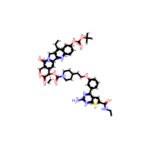 CCNC(=O)c1cc2c(-c3cccc(OCCC4CCN(C(=O)O[C@@]5(CC)C(=O)OCc6c5cc5n(c6=O)Cc6c-5nc5ccc(OC(=O)OC(C)(C)C)cc5c6CC)CC4)c3)nc(N)nc2s1